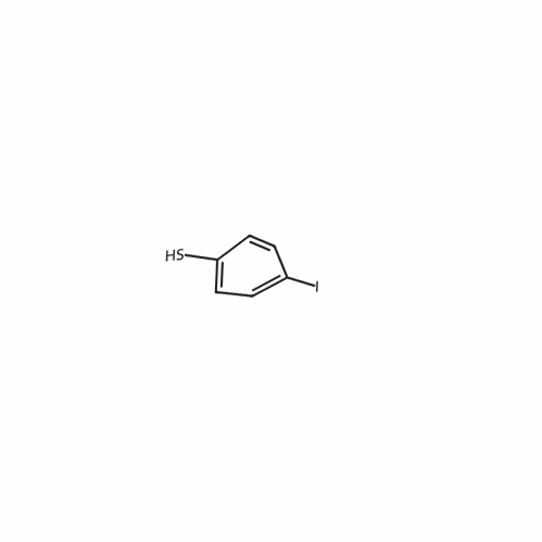 Sc1ccc(I)cc1